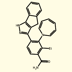 CCc1c(C(N)=O)ccc(-c2n[nH]c3c2Cc2ccccc2-3)c1N1C=CC=CC=C1